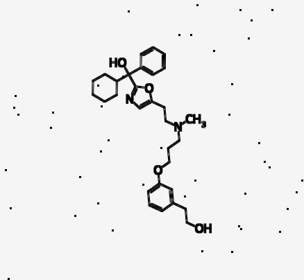 CN(CCCOc1cccc(CCO)c1)CCc1cnc(C(O)(c2ccccc2)C2CCCCC2)o1